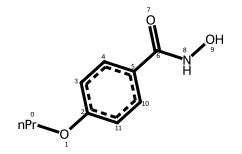 CCCOc1ccc(C(=O)NO)cc1